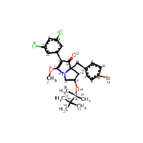 COC1=C(c2cc(Cl)cc(Cl)c2)C(=O)C2(Cc3ccc(Br)cc3)CC(O[Si](C)(C)C(C)(C)C)CN12